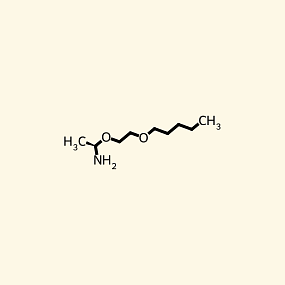 CCCCCOCCO[C@H](C)N